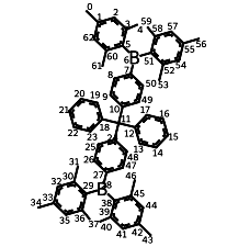 Cc1cc(C)c(B(c2ccc(C(c3ccccc3)(c3ccccc3)c3ccc(B(c4c(C)cc(C)cc4C)c4c(C)cc(C)cc4C)cc3)cc2)c2c(C)cc(C)cc2C)c(C)c1